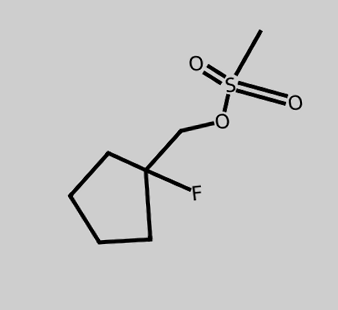 CS(=O)(=O)OCC1(F)CCCC1